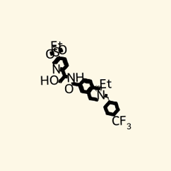 CC[C@H]1c2ccc(C(=O)NC(CO)c3ccc(S(=O)(=O)CC)cn3)cc2CCN1C[C@H]1CC[C@H](C(F)(F)F)CC1